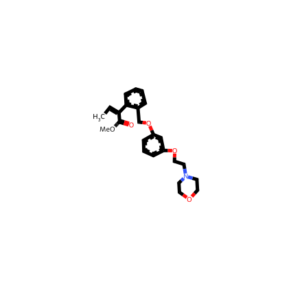 CC=C(C(=O)OC)c1ccccc1COc1cccc(OCCN2CCOCC2)c1